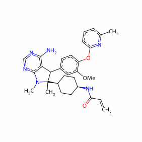 C=CC(=O)N[C@H]1CC[C@@H](C2(C)C(c3ccc(Oc4cccc(C)n4)c(OC)c3)c3c(N)ncnc3N2C)CC1